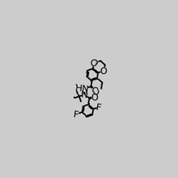 CCc1c(C(=O)NN(C(=O)c2cc(F)ccc2F)C(C)(C)C)ccc2c1OCCO2